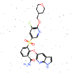 NC(=O)c1cccc(S(=O)(=O)c2cnc(OCC3CCOCC3)c(F)c2)c1Oc1cnc2[nH]ccc2c1